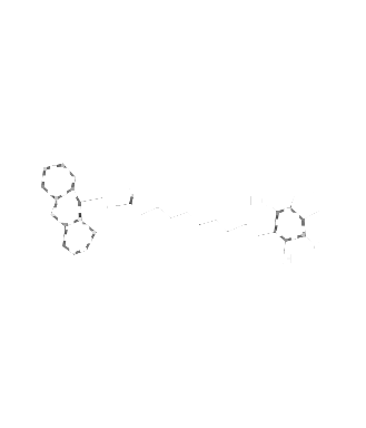 Cc1c(Cl)c(O)c(CCCCCCCCCC(=O)OCc2c3ccccc3cc3ccccc23)c(O)c1C=O